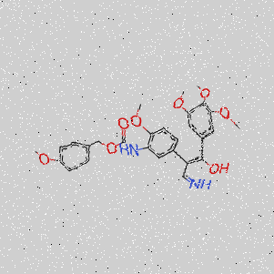 COc1ccc(COC(=O)Nc2cc(/C(C=N)=C(/O)c3cc(OC)c(OC)c(OC)c3)ccc2OC)cc1